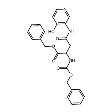 O=C(CC(NC(=O)OCc1ccccc1)C(=O)OCc1ccccc1)Nc1cnccc1O